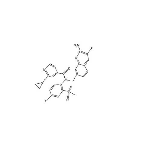 CS(=O)(=O)c1cc(F)ccc1N(Cc1ccc2cc(F)c(N)nc2c1)C(=O)c1ccnc(C2CC2)c1